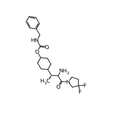 C[C@@H](C1CCC(OC(=O)NCc2ccccc2)CC1)C(N)C(=O)N1CCC(F)(F)C1